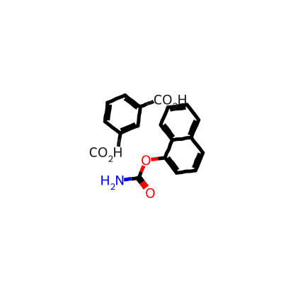 NC(=O)Oc1cccc2ccccc12.O=C(O)c1cccc(C(=O)O)c1